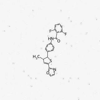 CC1C=C(c2ncco2)SC1c1ccc(NC(=O)c2c(F)cccc2F)cc1